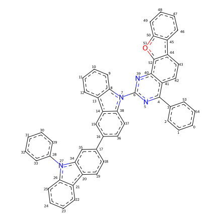 c1ccc(-c2nc(-n3c4ccccc4c4cc(-c5ccc6c7ccccc7n(-c7ccccc7)c6c5)ccc43)nc3c2ccc2c4ccccc4oc23)cc1